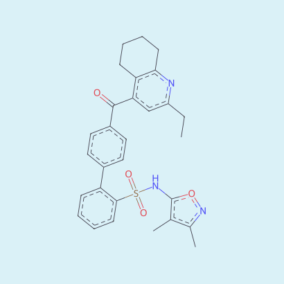 CCc1cc(C(=O)c2ccc(-c3ccccc3S(=O)(=O)Nc3onc(C)c3C)cc2)c2c(n1)CCCC2